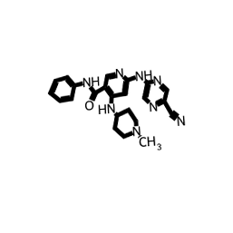 CN1CCC(Nc2cc(Nc3cnc(C#N)cn3)ncc2C(=O)Nc2ccccc2)CC1